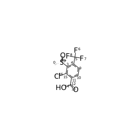 C[S@+]([O-])c1c(C(F)(F)F)ccc(C(=O)O)c1Cl